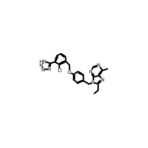 CCc1nc2c(C)ncnc2n1Cc1ccc(OCc2cccc(-c3nnn[nH]3)c2Cl)cc1